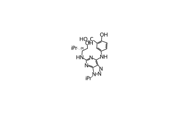 CC(C)[C@H](CO)Nc1nc(Nc2ccc(O)c(C(=O)O)c2)c2nnn(C(C)C)c2n1